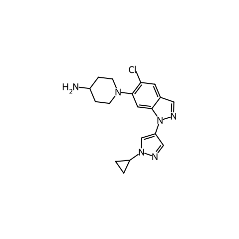 NC1CCN(c2cc3c(cnn3-c3cnn(C4CC4)c3)cc2Cl)CC1